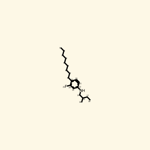 CCCCCCCCCc1c#cc(NCC(C)CC)cc1F